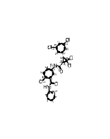 O=C(Nc1ccccn1)c1cc(NC(=O)[C@H]2[C@H](c3cc(Cl)cc(Cl)c3)C2(Cl)Cl)ccc1Cl